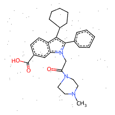 CN1CCN(C(=O)Cn2c(-c3ccccc3)c(C3CCCCC3)c3ccc(C(=O)O)cc32)CC1